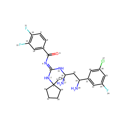 CC1(N/C(=N/C(=O)c2ccc(F)c(F)c2)NC(N)CC(N)c2cc(F)cc(Cl)c2)CCCC1